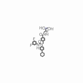 O=C(NCC(F)/C(O)=C\O)c1ccc(CN(C(=O)Nc2cc(F)cc(F)c2)c2ccc(C3CCCCC3)cc2)cc1